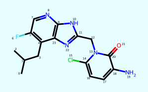 CC(C)Cc1c(F)cnc2[nH]c(Cn3c(Cl)ccc(N)c3=O)nc12